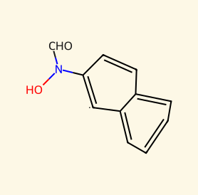 O=CN(O)c1[c]c2ccccc2cc1